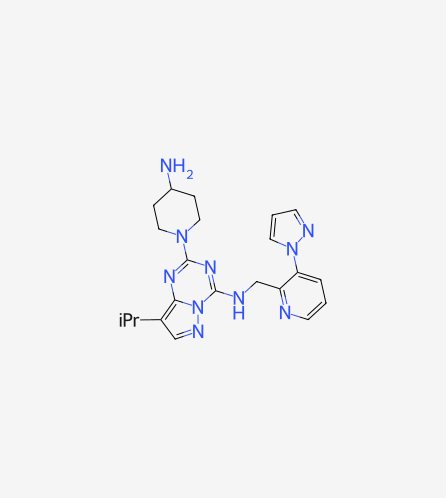 CC(C)c1cnn2c(NCc3ncccc3-n3cccn3)nc(N3CCC(N)CC3)nc12